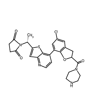 C[C@H](c1cc2nccc(-c3cc(Cl)cc4c3OC(C(=O)N3CCNCC3)C4)c2s1)N1C(=O)CCC1=O